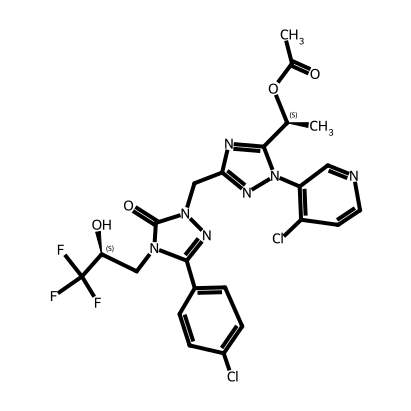 CC(=O)O[C@@H](C)c1nc(Cn2nc(-c3ccc(Cl)cc3)n(C[C@H](O)C(F)(F)F)c2=O)nn1-c1cnccc1Cl